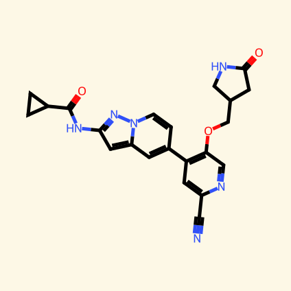 N#Cc1cc(-c2ccn3nc(NC(=O)C4CC4)cc3c2)c(OCC2CNC(=O)C2)cn1